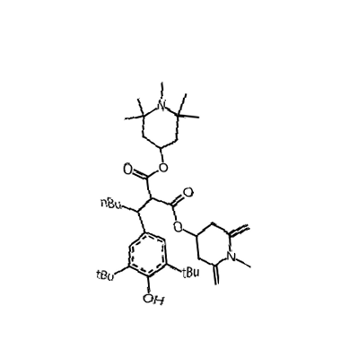 C=C1CC(OC(=O)C(C(=O)OC2CC(C)(C)N(C)C(C)(C)C2)C(CCCC)c2cc(C(C)(C)C)c(O)c(C(C)(C)C)c2)CC(=C)N1C